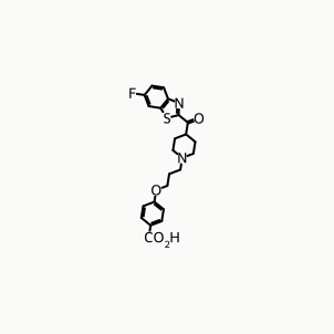 O=C(O)c1ccc(OCCCN2CCC(C(=O)c3nc4ccc(F)cc4s3)CC2)cc1